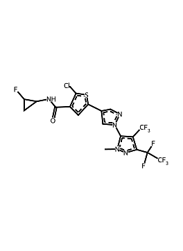 Cn1nc(C(F)(F)C(F)(F)F)c(C(F)(F)F)c1-n1cc(-c2cc(C(=O)NC3CC3F)c(Cl)s2)cn1